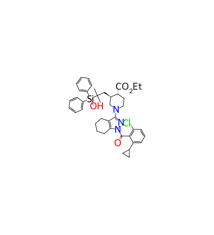 CCOC(=O)[C@@H]1CCN(c2nn(C(=O)c3c(Cl)cccc3C3CC3)c3c2CCCC3)C[C@H]1CC(C)(C)[Si](O)(c1ccccc1)c1ccccc1